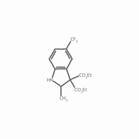 CCOC(=O)C1(C(=O)OCC)c2cc(C(F)(F)F)ccc2NC1C